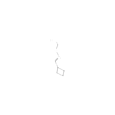 CCO/N=[C]/C1CCC1